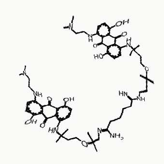 CN(C)CCNc1ccc(O)c2c1C(=O)c1c(O)ccc(NC(C)(C)CCOC(C)(C)CCNC(=N)CCCC/C(N)=N/CC(C)(C)OCCC(C)(C)Nc3ccc(O)c4c3C(=O)c3c(O)ccc(NCCN(C)C)c3C4=O)c1C2=O